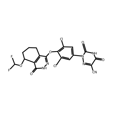 N#Cc1nn(-c2cc(Cl)c(Oc3n[nH]c(=O)c4c3CCCC4OC(F)F)c(Cl)c2)c(=O)[nH]c1=O